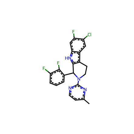 Cc1ccnc(N2CCc3c([nH]c4cc(F)c(Cl)cc34)C2c2cccc(F)c2F)n1